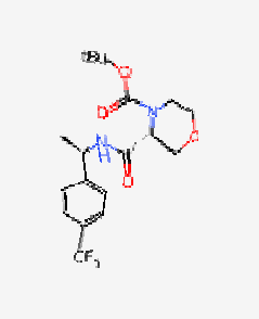 C[C@@H](NC(=O)[C@H]1COCCN1C(=O)OC(C)(C)C)c1ccc(C(F)(F)F)cc1